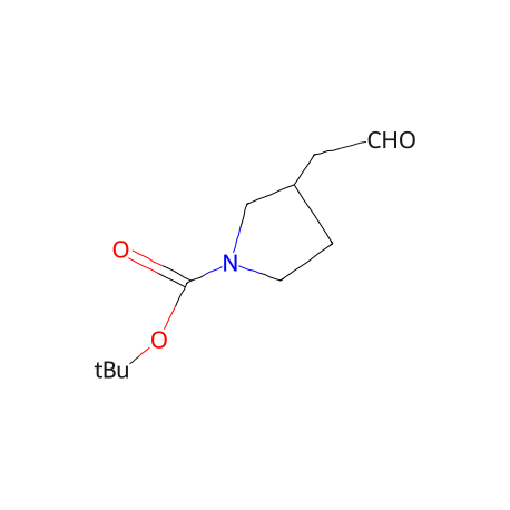 CC(C)(C)OC(=O)N1CCC(CC=O)C1